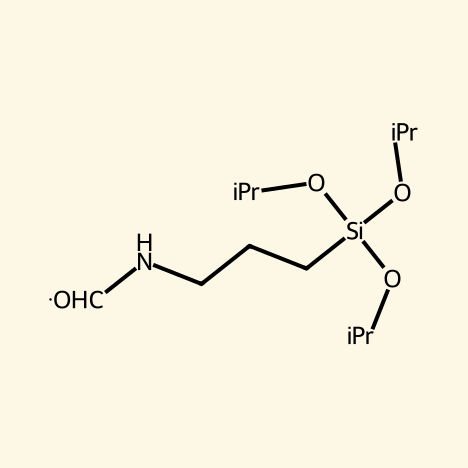 CC(C)O[Si](CCCN[C]=O)(OC(C)C)OC(C)C